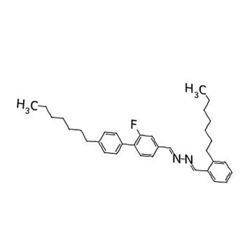 CCCCCCCc1ccc(-c2ccc(C=NN=Cc3ccccc3CCCCCCC)cc2F)cc1